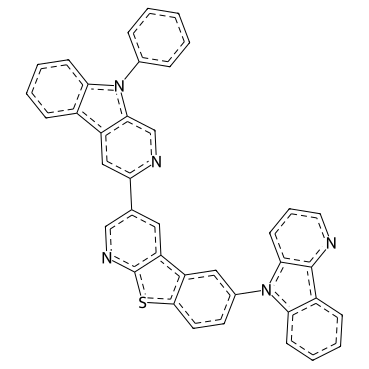 c1ccc(-n2c3ccccc3c3cc(-c4cnc5sc6ccc(-n7c8ccccc8c8ncccc87)cc6c5c4)ncc32)cc1